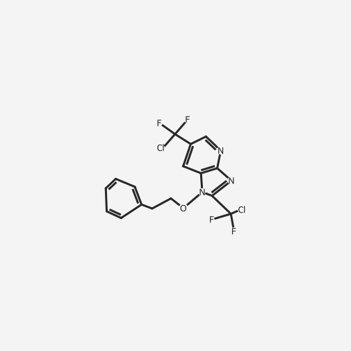 FC(F)(Cl)c1cnc2nc(C(F)(F)Cl)n(OCCc3ccccc3)c2c1